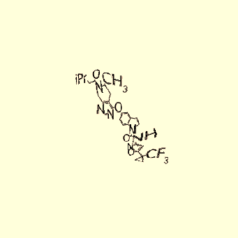 CC(C)CC(=O)N1Cc2ncnc(Oc3ccc4c(c3)CCN4C(=O)Nc3cc(C4(C(F)(F)F)CC4)on3)c2C[C@@H]1C